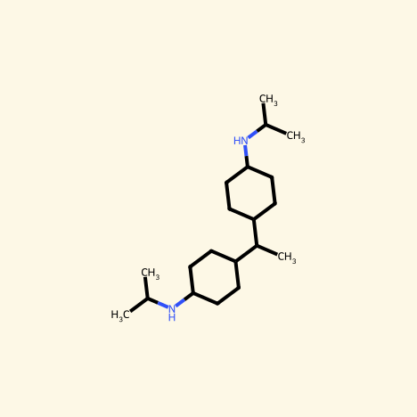 CC(C)NC1CCC(C(C)C2CCC(NC(C)C)CC2)CC1